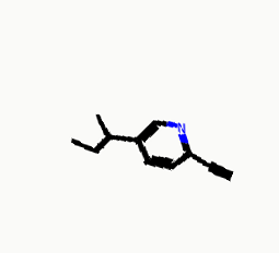 C#Cc1ccc(C(C)CC)cn1